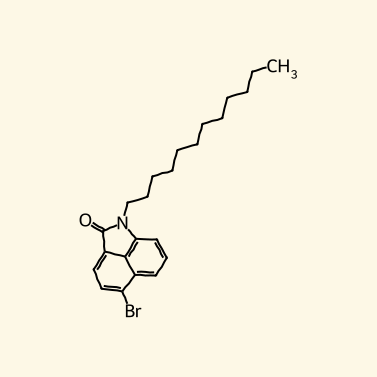 CCCCCCCCCCCCN1C(=O)c2ccc(Br)c3cccc1c23